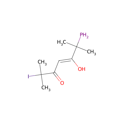 CC(C)(I)C(=O)/C=C(\O)C(C)(C)P